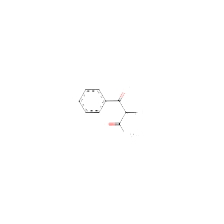 COC(=O)C(C)C(=O)c1ccccc1